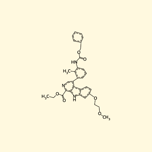 CCOC(=O)c1ncc(-c2cccc(NC(=O)OCc3ccccc3)c2C)c2c1[nH]c1cc(OCCOC)ccc12